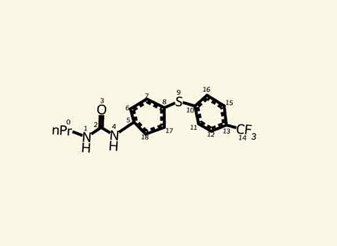 CCCNC(=O)Nc1ccc(Sc2ccc(C(F)(F)F)cc2)cc1